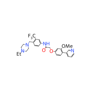 CCN1CCN(Cc2ccc(NC(=O)COc3ccc(-c4cccnc4)c(OC)c3)cc2C(F)(F)F)CC1